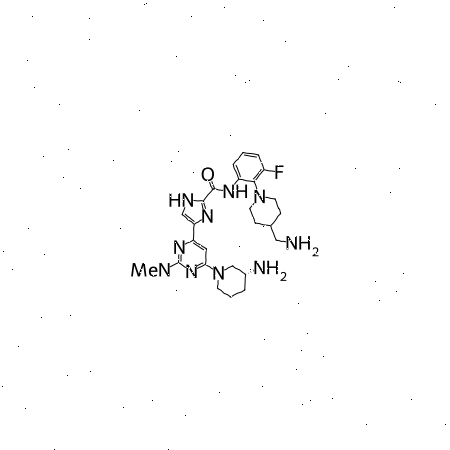 CNc1nc(-c2c[nH]c(C(=O)Nc3cccc(F)c3N3CCC(CN)CC3)n2)cc(N2CCC[C@@H](N)C2)n1